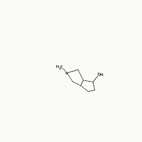 CN1CC2CCC(O)C2C1